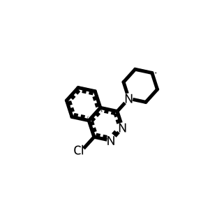 Clc1nnc(N2CC[CH]CC2)c2ccccc12